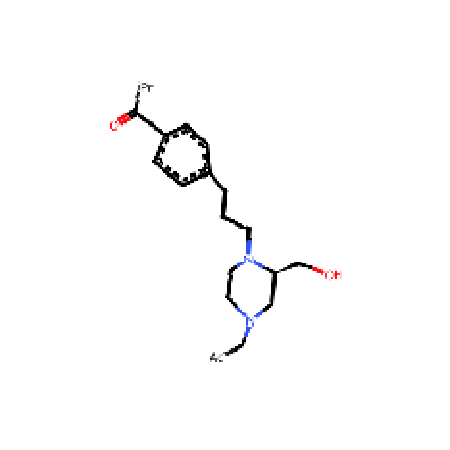 CC(=O)CN1CCN(CCCc2ccc(C(=O)C(C)C)cc2)[C@@H](CO)C1